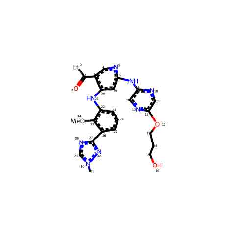 CCC(=O)c1cnc(Nc2cnc(OCCCO)cn2)cc1Nc1cccc(-c2ncn(C)n2)c1OC